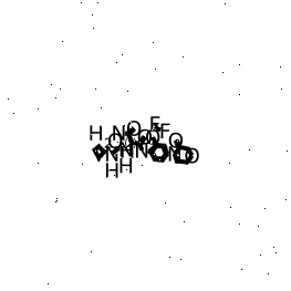 NC(=O)[C@H](NC(=O)NC1CCC1)C(=O)Nc1ccc(N2CCOCC2=O)cc1OC(F)F